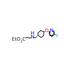 CCOC(=O)CCNC[C@H]1CC[C@@H](Oc2ccc(F)cn2)CC1